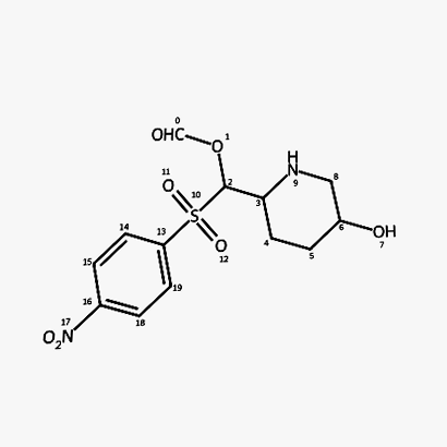 O=COC(C1CCC(O)CN1)S(=O)(=O)c1ccc([N+](=O)[O-])cc1